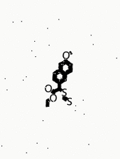 CCOC(=O)C(SC=S)c1ccc2cc(OC)ccc2c1